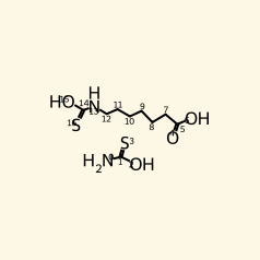 NC(O)=S.O=C(O)CCCCCCNC(O)=S